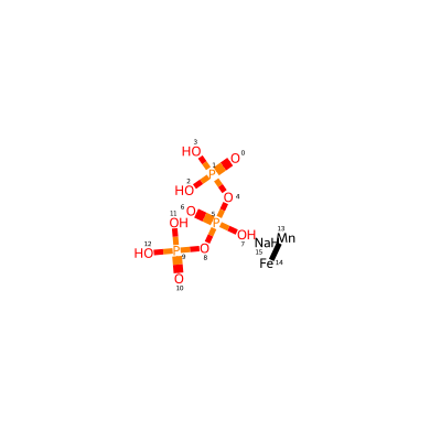 O=P(O)(O)OP(=O)(O)OP(=O)(O)O.[Mn][Fe].[NaH]